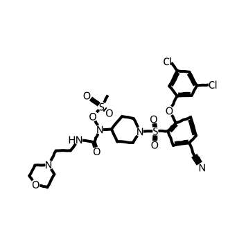 CS(=O)(=O)ON(C(=O)NCCN1CCOCC1)C1CCN(S(=O)(=O)c2cc(C#N)ccc2Oc2cc(Cl)cc(Cl)c2)CC1